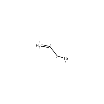 C=C[CH2][Tb]